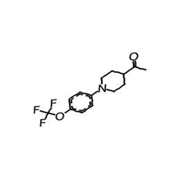 CC(=O)C1CCN(c2ccc(OC(F)(F)F)cc2)CC1